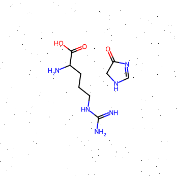 N=C(N)NCCCC(N)C(=O)O.O=C1CNC=N1